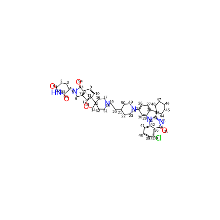 O=C1CC[C@H](N2Cc3c(ccc4c3OCC43CCN(CCC4CCN(c5ccc6c(c5)-n5c(nc(=O)c7c(Cl)cccc75)C65CCCCC5)CC4)CC3)C2=O)C(=O)N1